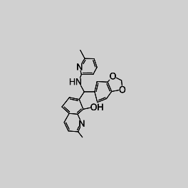 Cc1cccc(NC(c2ccc3c(c2)OCO3)c2ccc3ccc(C)nc3c2O)n1